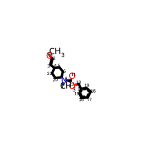 CO/C=C/C1CCC(N(C)C(=O)OCc2ccccc2)CC1